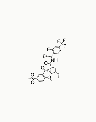 CC[C@@H]1C[C@H](C(=O)NC(c2ccc(C(F)(F)F)cc2F)C2CC2)N(C(=O)c2cc(S(C)(=O)=O)ccc2OC)C1